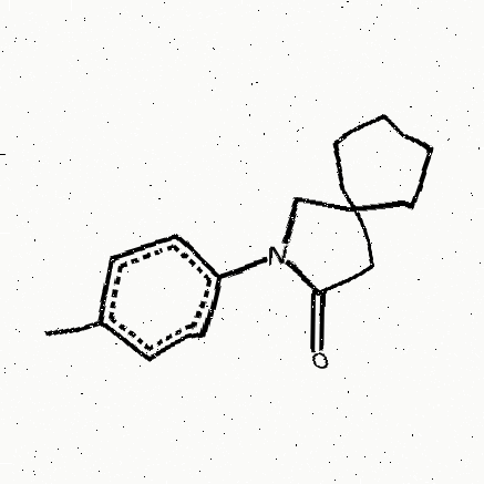 Cc1ccc(N2CC3(CCCC3)CC2=O)cc1